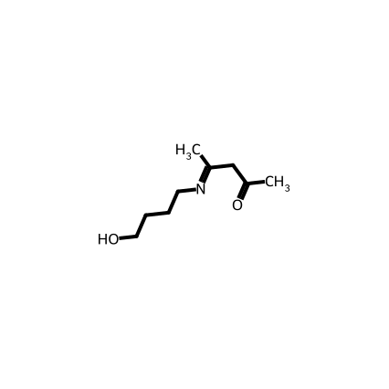 CC(=O)CC(C)=NCCCCO